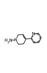 NN1CC=C(c2ccccn2)CC1